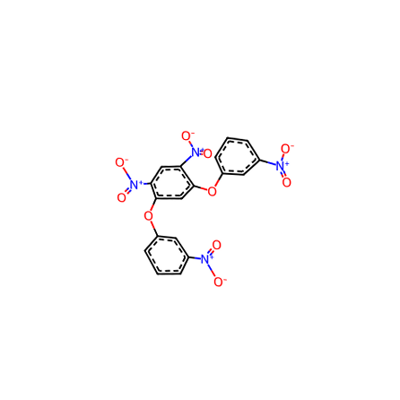 O=[N+]([O-])c1cccc(Oc2cc(Oc3cccc([N+](=O)[O-])c3)c([N+](=O)[O-])cc2[N+](=O)[O-])c1